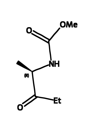 CCC(=O)[C@@H](C)NC(=O)OC